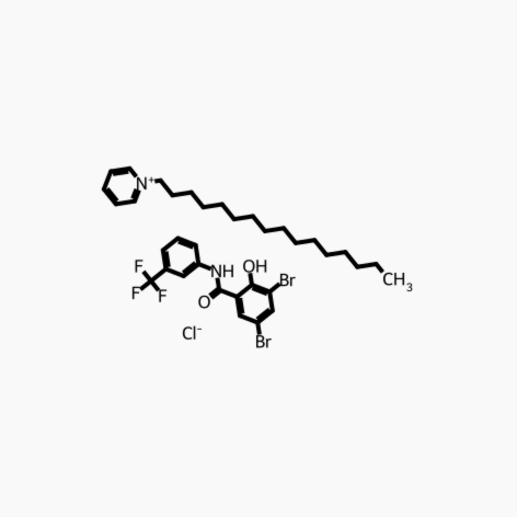 CCCCCCCCCCCCCCCC[n+]1ccccc1.O=C(Nc1cccc(C(F)(F)F)c1)c1cc(Br)cc(Br)c1O.[Cl-]